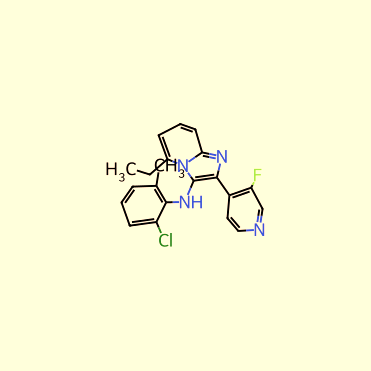 CCc1cccc2nc(-c3ccncc3F)c(Nc3c(C)cccc3Cl)n12